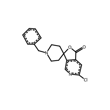 O=C1OC2(CCN(Cc3ccccc3)CC2)c2cnc(Cl)cc21